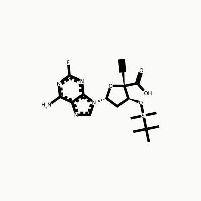 C#C[C@]1(C(=O)O)O[C@@H](n2cnc3c(N)nc(F)nc32)C[C@@H]1O[Si](C)(C)C(C)(C)C